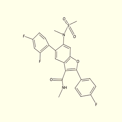 CNC(=O)c1c(-c2ccc(F)cc2)oc2cc(N(C)S(C)(=O)=O)c(-c3ccc(F)cc3F)cc12